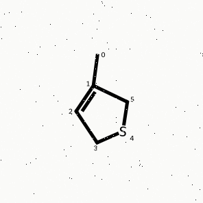 CC1=CCSC1